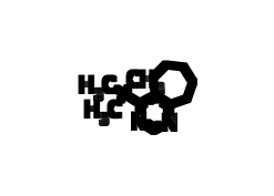 CC(C)(C)c1ncnc2c1CCCCC2